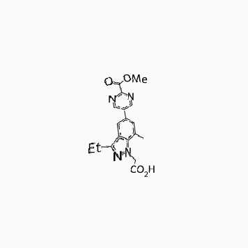 CCc1nn(CC(=O)O)c2c(C)cc(-c3cnc(C(=O)OC)nc3)cc12